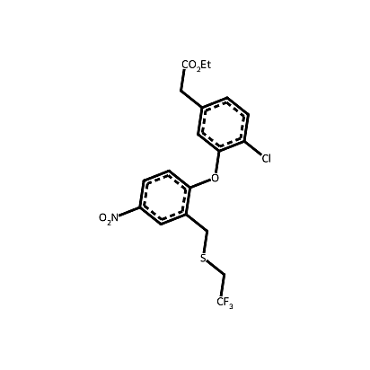 CCOC(=O)Cc1ccc(Cl)c(Oc2ccc([N+](=O)[O-])cc2CSCC(F)(F)F)c1